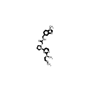 C=N/C=C\N(C)c1nccc(N2CCC[C@@H]2CC(=O)NCc2ccc3c(c2)ncn3C)n1